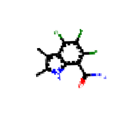 Cc1[nH]c2c(C(N)=O)c(F)c(F)c(Br)c2c1C